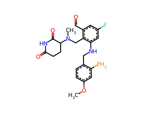 COc1ccc(CNc2cc(F)cc(C=O)c2CN(C)C2CCC(=O)NC2=O)c(P)c1